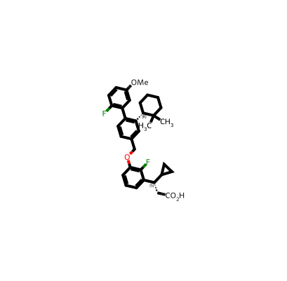 COc1ccc(F)c(-c2ccc(COc3cccc([C@@H](CC(=O)O)C4CC4)c3F)cc2[C@@H]2CCCCC2(C)C)c1